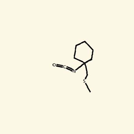 CSCC1(N=C=O)CCCCC1